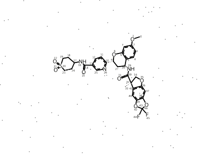 COc1ccc2c(c1)O[C@@H](c1ccc(C(=O)NC3CCS(=O)(=O)CC3)cn1)C[C@H]2NC(=O)[C@@]1(C)COc2cc3c(cc21)OC(F)(F)O3